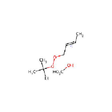 C/C=C/COOC(C)(C)CC.O=C(O)O